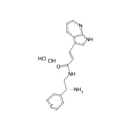 Cl.Cl.N[C@@H](CNC(=O)/C=C/c1c[nH]c2ncccc12)c1ccccc1